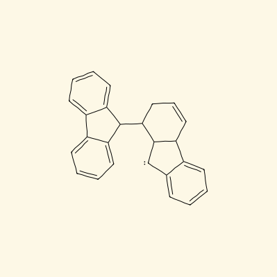 [C]1c2ccccc2C2C=CCC(C3c4ccccc4-c4ccccc43)C12